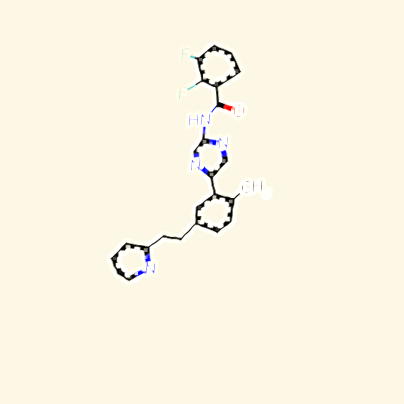 Cc1ccc(CCc2ccccn2)cc1-c1cnc(NC(=O)c2cccc(F)c2F)cn1